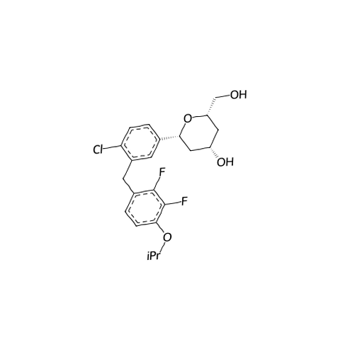 CC(C)Oc1ccc(Cc2cc([C@H]3C[C@@H](O)C[C@@H](CO)O3)ccc2Cl)c(F)c1F